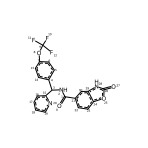 O=C(NC(c1ccc(OC(F)(F)F)cc1)c1ccccn1)c1ccc2oc(=O)[nH]c2c1